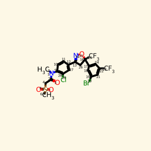 CN(C(=O)CS(C)(=O)=O)c1ccc(C2=NOC(c3cc(Br)cc(C(F)(F)F)c3)(C(F)(F)F)C2)cc1Cl